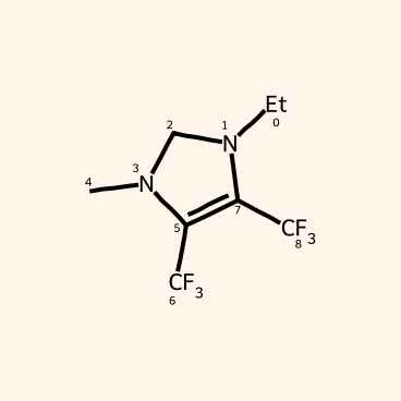 CCN1CN(C)C(C(F)(F)F)=C1C(F)(F)F